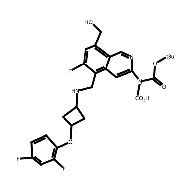 CC(C)(C)OC(=O)N(C(=O)O)c1cc2c(CNC3CC(Oc4ccc(F)cc4F)C3)c(F)cc(CO)c2cn1